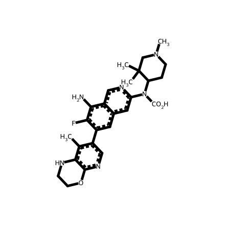 Cc1c(-c2cc3cc(N(C(=O)O)C4CCN(C)CC4(C)C)ncc3c(N)c2F)cnc2c1NCCO2